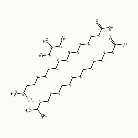 CC(C)CCCCCCCCCCCCCCC(=O)O.CC(C)CCCCCCCCCCCCCCC(=O)O.OCC(O)CO